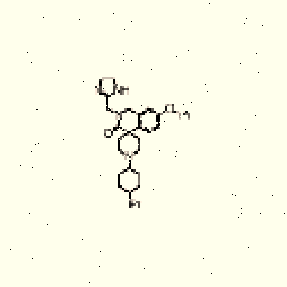 CC(C)Oc1ccc2c(c1)CN(CC1=NCCN1)C(=O)C21CCN(C2CCC(C(C)C)CC2)CC1